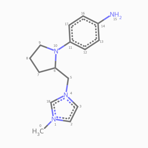 C[n+]1ccn(CC2CCCN2c2ccc(N)cc2)c1